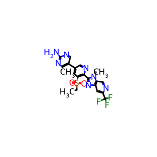 CCS(=O)(=O)c1cc(-c2cnc(N)nc2C)cnc1-c1nc2cc(C(F)(F)F)ncc2n1C